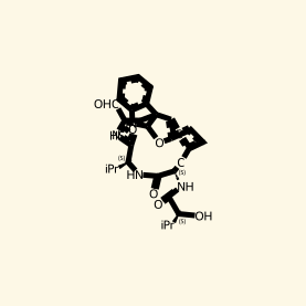 CC(C)[C@H](O)C(=O)N[C@H]1Cc2ccc3c(c2)C2(c4ccccc4N(S)C2O3)c2oc(nc2C=O)[C@H](C(C)C)NC1=O